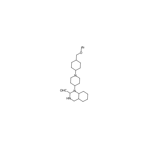 CC(C)OCC1CCC(N2CCC(N3C(C=O)NCC4CCCCC43)CC2)CC1